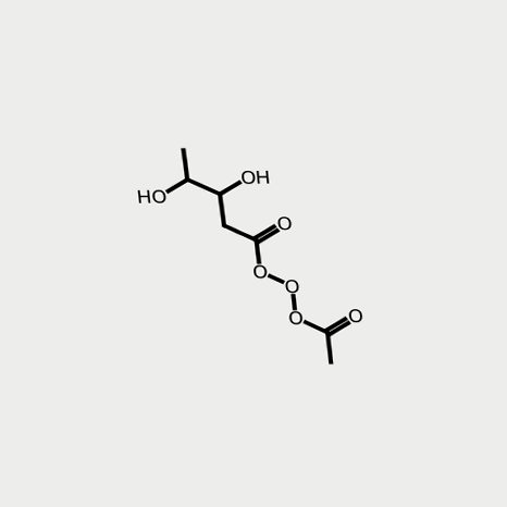 CC(=O)OOOC(=O)CC(O)C(C)O